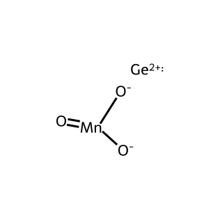 [Ge+2].[O]=[Mn]([O-])[O-]